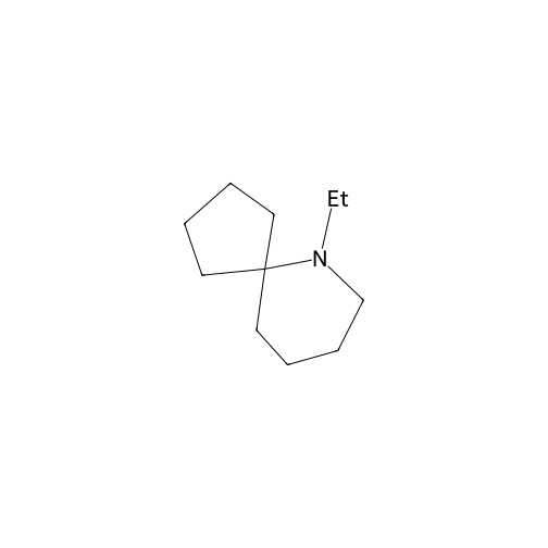 CCN1CCCCC12CCCC2